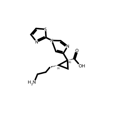 NCCC[C@H]1C[C@]1(C(=O)O)c1cn(-c2nccs2)cn1